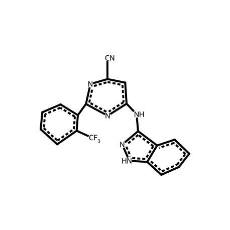 N#Cc1cc(Nc2n[nH]c3ccccc23)nc(-c2ccccc2C(F)(F)F)n1